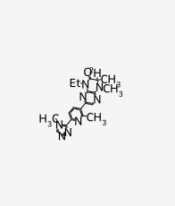 [2H]C1(C)C(=O)N(CC)c2nc(-c3ccc(-c4nncn4C)nc3C)cnc2N1C